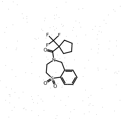 O=C(N1CCS(=O)(=O)c2ccccc2C1)C1(C(F)(F)F)CCCC1